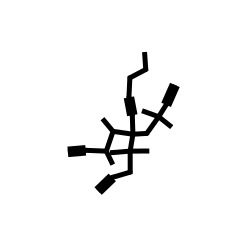 C#CCC(C)(C)C(C#CCCC)(CC(C)(C)C#C)C(C)C(C)C#C